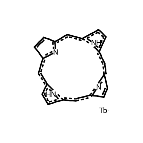 C1=Cc2cc3ccc(cc4nc(cc5ccc(cc1n2)[nH]5)C=C4)[nH]3.[Tb]